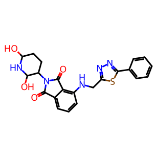 O=C1c2cccc(NCc3nnc(-c4ccccc4)s3)c2C(=O)N1C1CCC(O)NC1O